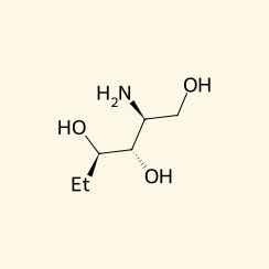 CC[C@@H](O)[C@@H](O)[C@@H](N)CO